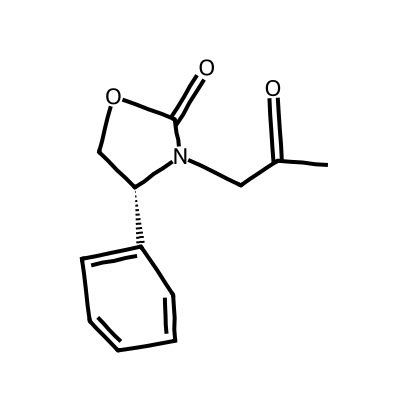 CC(=O)CN1C(=O)OC[C@H]1c1ccccc1